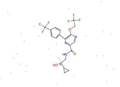 C[C@](O)(CNC(=O)c1cnc(OCC(F)(F)F)c(-c2ccc(C(F)(F)F)cc2)n1)C1CC1